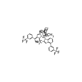 CC1=Cc2c(-c3cccc(C(F)(F)F)c3)cccc2[CH]1[Zr+2]([CH]1C(C)=Cc2c(-c3cccc(C(F)(F)F)c3)cccc21)=[Si](C)C.[Cl-].[Cl-]